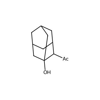 CC(=O)C1C2CC3CC(C2)CC1(O)C3